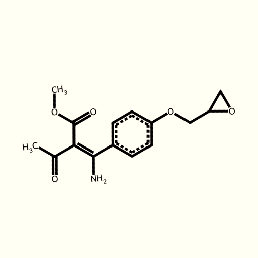 COC(=O)C(C(C)=O)=C(N)c1ccc(OCC2CO2)cc1